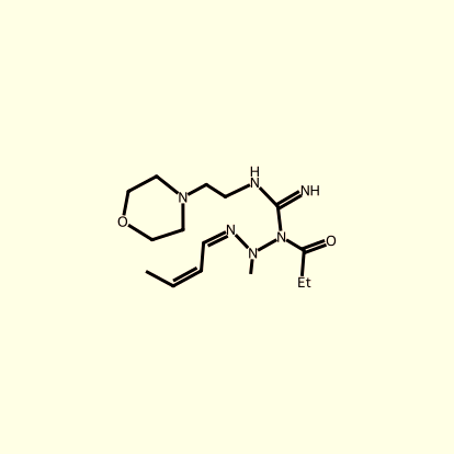 C/C=C\C=N/N(C)N(C(=N)NCCN1CCOCC1)C(=O)CC